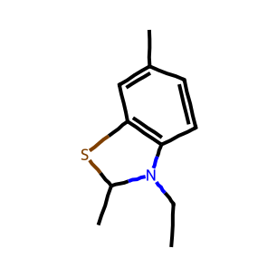 CCN1c2ccc(C)cc2SC1C